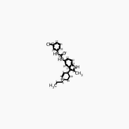 CCCN1C=CC(c2c(C)[nH]c3ccc(NC(=O)Nc4cccc(Cl)c4)cc23)CC1